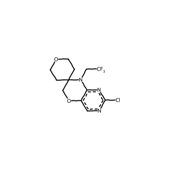 FC(F)(F)CN1c2nc(Cl)ncc2OCC12CCOCC2